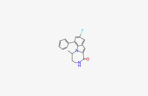 CC1CCNC(=O)c2cc3cc(F)cc(-c4ccccc4)c3n21